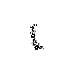 NC(=O)CCC(=O)N[C@H]1CC[C@H](CCN2CCN(c3cccc(C(F)(F)F)c3F)CC2)CC1